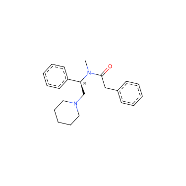 CN(C(=O)Cc1ccccc1)[C@@H](CN1CCCCC1)c1ccccc1